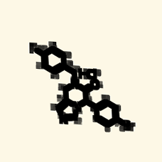 Cl.O=C1C(c2ccc(Br)cc2)n2cncc2CN1Cc1ccc(F)cc1